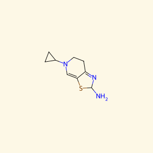 NC1N=C2CCN(C3CC3)C=C2S1